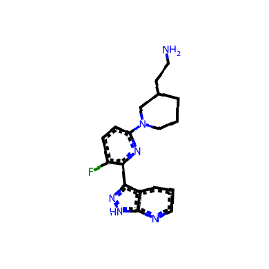 NCCC1CCCN(c2ccc(F)c(-c3n[nH]c4ncccc34)n2)C1